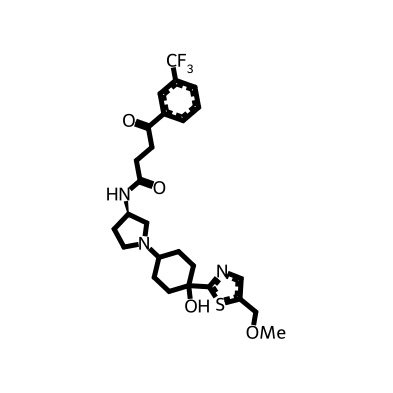 COCc1cnc(C2(O)CCC(N3CC[C@@H](NC(=O)CCC(=O)c4cccc(C(F)(F)F)c4)C3)CC2)s1